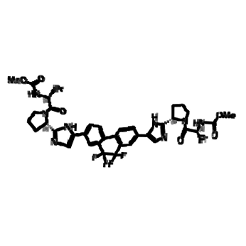 COC(=O)N[C@H](C(=O)N1CCC[C@H]1c1ncc(-c2ccc3c(c2)C(F)(F)C(F)(F)c2cc(-c4cnc([C@@H]5CCCN5C(=O)[C@@H](NC(=O)OC)C(C)C)[nH]4)ccc2-3)[nH]1)C(C)C